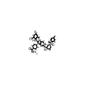 Cc1ccc(S(=O)(=O)N2CCC[C@@H](Nc3ncc4nc(Nc5c(F)cc(F)cc5Cl)n([C@H]5CC[C@H](C(N)=O)CC5)c4n3)C2)cc1